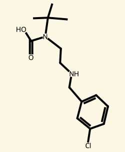 CC(C)(C)N(CCNCc1cccc(Cl)c1)C(=O)O